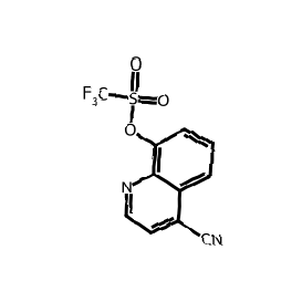 N#Cc1ccnc2c(OS(=O)(=O)C(F)(F)F)cccc12